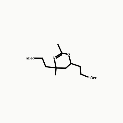 CCCCCCCCCCCCC1CC(C)(CCCCCCCCCCCC)N=C(C)O1